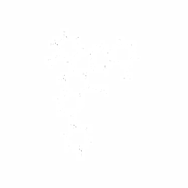 COc1cc(N2CCNCC2)ccc1Nc1nc(Oc2c(Cl)cccc2Cl)cc2cn[nH]c(=O)c12